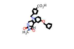 CN1C(=O)[C@@H]2CN(Cc3c2c2cc(OCc4ccccc4)ccc2n3Cc2ccc(C(=O)O)cc2)C1=O